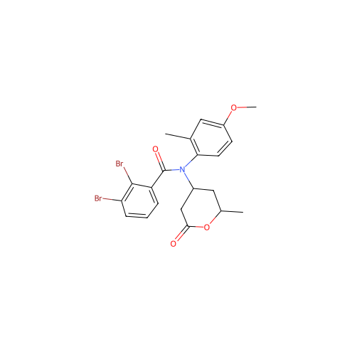 COc1ccc(N(C(=O)c2cccc(Br)c2Br)C2CC(=O)OC(C)C2)c(C)c1